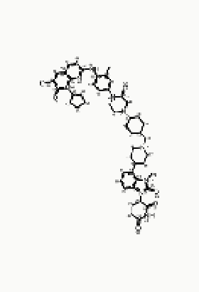 Cc1cc(N2CCN([C@H]3CC[C@H](CN4CCC(c5cccc6c5n(C)c(=O)n6C5CCC(=O)NC5=O)CC4)CC3)CC2=O)ccc1Nc1ncc2cc(Cl)c(=O)n(C3CCCC3)c2n1